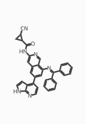 N#CC1CC1C(=O)Nc1cc2cc(-c3ccnc4[nH]ccc34)cc(N=C(c3ccccc3)c3ccccc3)c2cn1